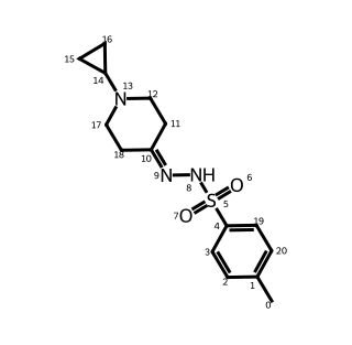 Cc1ccc(S(=O)(=O)NN=C2CCN(C3CC3)CC2)cc1